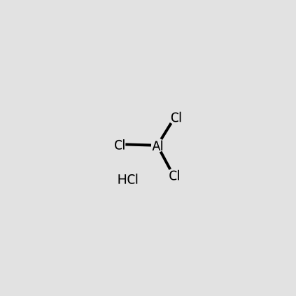 Cl.[Cl][Al]([Cl])[Cl]